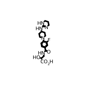 O=C(NC[C@H](O)C(=O)O)c1ccc(N2CCC(NC3=NCCCN3)CC2)c(F)c1